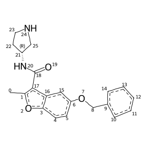 Cc1oc2ccc(OCc3ccccc3)cc2c1C(=O)N[C@@H]1CCNC1